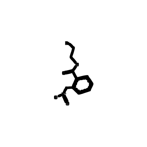 O=C(OCCBr)c1ccccc1C[N+](=O)[O-]